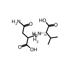 CC(C)[C@H](N)C(=O)O.NC(=O)CC(N)C(=O)O